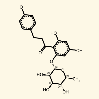 C[C@@H]1O[C@@H](Oc2cc(O)cc(O)c2C(=O)CCc2ccc(O)cc2)[C@H](O)[C@H](O)[C@H]1O